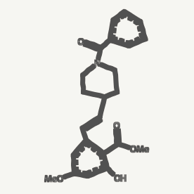 COC(=O)c1c(O)cc(OC)cc1/C=C/C1CCN(C(=O)c2ccccc2)CC1